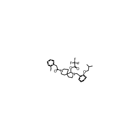 CC(C)COc1ccccc1CN1CCC2(CCN(C(=O)Cc3ccccc3F)CC2)C1OC(=O)C(F)(F)F